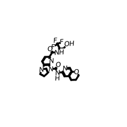 O=C(N[C@H](CO)C(F)(F)F)c1ccc2c(n1)N(C(=O)Nc1cc3c(cn1)OCCC3)C1CCN2C1